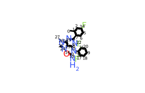 Cc1cc(F)ccc1-c1nc(N(C(N)=O)c2c(F)cccc2F)c2ncn(C)c2n1